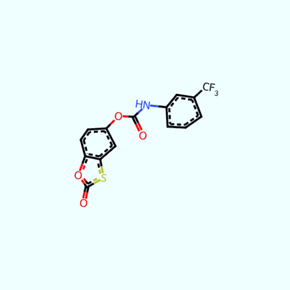 O=C(Nc1cccc(C(F)(F)F)c1)Oc1ccc2oc(=O)sc2c1